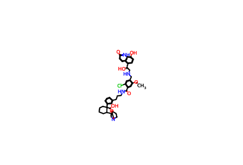 COc1cc(C(=O)NCCCc2cccc(C3(C(=O)O)CCCCC3C3CN4CCC3CC4)c2)c(Cl)cc1CNC[C@H](O)c1ccc(O)c2[nH]c(=O)ccc12